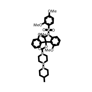 COc1ccc(S(=O)(=O)N2C(=O)C(OC(=O)N3CCN(N4CCC(C)CC4)CC3)(c3ccccc3OC)c3c(OC)cccc32)c(OC)c1